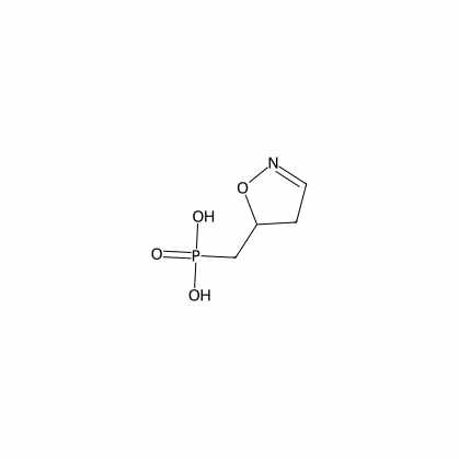 O=P(O)(O)CC1CC=NO1